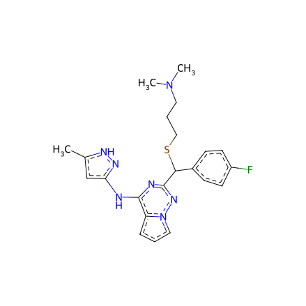 Cc1cc(Nc2nc(C(SCCCN(C)C)c3ccc(F)cc3)nn3cccc23)n[nH]1